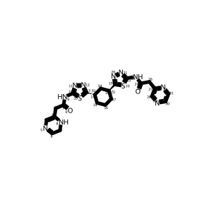 O=C(CC1=CN=CCN1)Nc1nnc([C@H]2CCC[C@H](c3nnc(NC(=O)Cc4cnccn4)s3)C2)s1